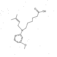 COc1cccc(N(CC=C(C)C)CCCCCC(=O)O)c1